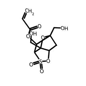 C=CC(=O)OC1C2C3(CO)OC1(CO)CC3OS2(=O)=O